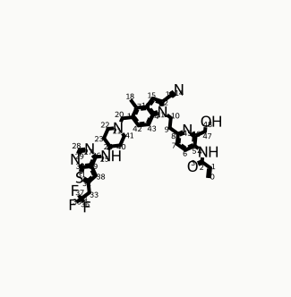 C=CC(=O)Nc1ccc(CCn2c(C#N)cc3c(C)c(CN4CCC(Nc5ncnc6sc(CC(F)(F)F)cc56)CC4)ccc32)nc1CO